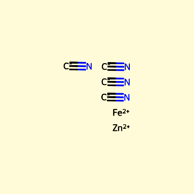 [C-]#N.[C-]#N.[C-]#N.[C-]#N.[Fe+2].[Zn+2]